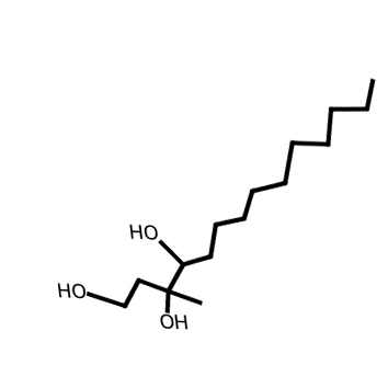 CCCCCCCCCCC(O)C(C)(O)CCO